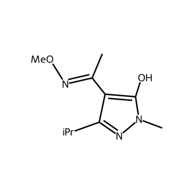 CON=C(C)c1c(C(C)C)nn(C)c1O